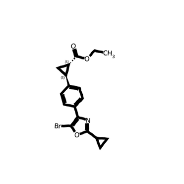 CCOC(=O)[C@H]1C[C@@H]1c1ccc(-c2nc(C3CC3)oc2Br)cc1